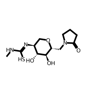 CN/C(S)=N/[C@H]1CO[C@H](CN2CCCC2=O)[C@@H](O)[C@@H]1O